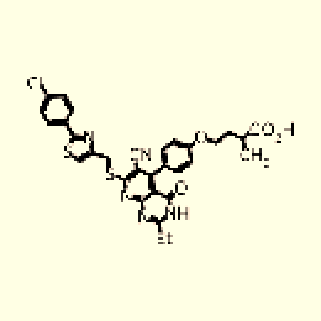 CCc1nc2nc(SCc3csc(-c4ccc(Cl)cc4)n3)c(C#N)c(-c3ccc(OCCC(C)C(=O)O)cc3)c2c(=O)[nH]1